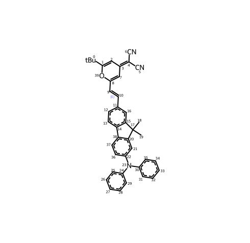 CC(C)(C)C1=CC(=C(C#N)C#N)C=C(/C=C/c2ccc3c(c2)C(C)(C)c2cc(N(c4ccccc4)c4ccccc4)ccc2-3)O1